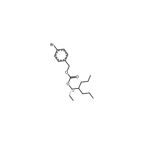 CCCC(CCC)[C@H](CC)OC(=O)OCc1ccc(Br)cc1